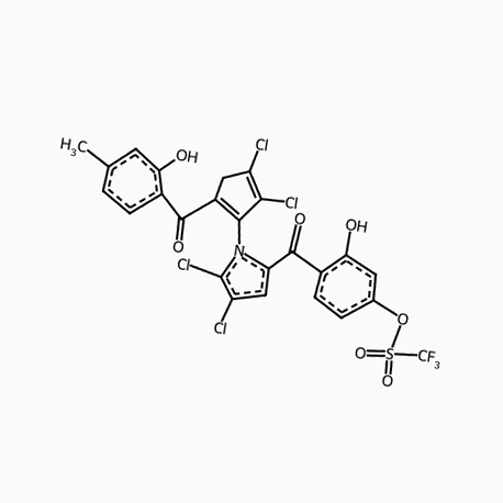 Cc1ccc(C(=O)C2=C(n3c(C(=O)c4ccc(OS(=O)(=O)C(F)(F)F)cc4O)cc(Cl)c3Cl)C(Cl)=C(Cl)C2)c(O)c1